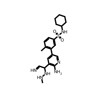 CNNC(C=N)c1cc(-c2cc(S(=O)(=O)NC3CCCCC3)ccc2C)cnc1N